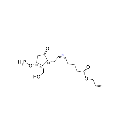 C=CCOC(=O)CCC/C=C\C[C@H]1C(=O)C[C@@H](OP)[C@@H]1CO